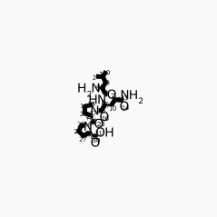 CC(C)C[C@H](N)C(=O)N[C@@H](CCC(N)=O)C(=O)N1CCC[C@H]1C(=O)N1CCC[C@H]1C(=O)O